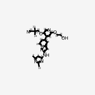 Cc1cc(Nc2cc3cc(-c4cc(OCCO)ncc4OCC(C)(C)C#N)ccn3n2)nc(C)n1